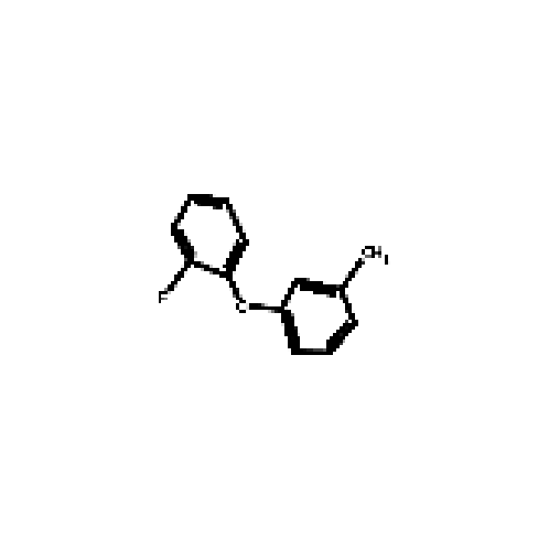 Cc1cccc(Oc2ccccc2F)c1